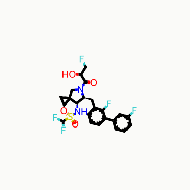 O=C(C(O)CF)N1CC2(CC2)[C@H](NS(=O)(=O)C(F)F)[C@@H]1Cc1cccc(-c2cccc(F)c2)c1F